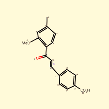 COc1cc(C)ccc1C(=O)/C=C/c1ccc(C(=O)O)cc1